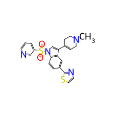 CN1CC=C(c2cn(S(=O)(=O)c3cccnc3)c3ccc(-c4nccs4)cc23)CC1